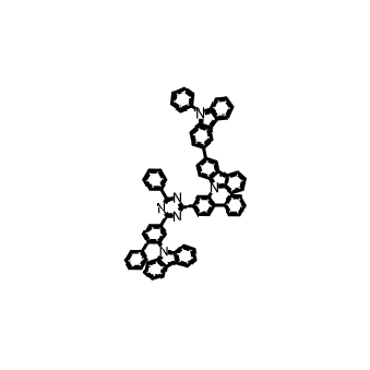 c1ccc(-c2nc(-c3ccc(-c4ccccc4)c(-n4c5ccccc5c5ccccc54)c3)nc(-c3ccc(-c4ccccc4)c(-n4c5ccccc5c5cc(-c6ccc7c(c6)c6ccccc6n7-c6ccccc6)ccc54)c3)n2)cc1